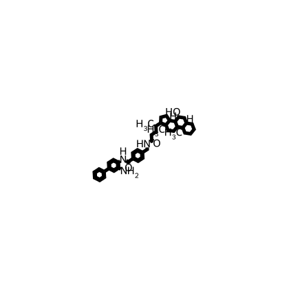 C[C@H](CCC(=O)NCc1ccc(C(=O)Nc2ccc(-c3ccccc3)cc2N)cc1)C1CCC2[C@H]3C(CC[C@@]21C)[C@@]1(C)CCCC[C@H]1C[C@@H]3O